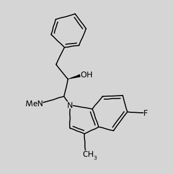 CNC([C@H](O)Cc1ccccc1)n1cc(C)c2cc(F)ccc21